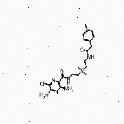 Cc1ccc(CC(=O)NCC[N+](C)(C)CCNC(=O)c2nc(Cl)c(N)nc2N)cc1